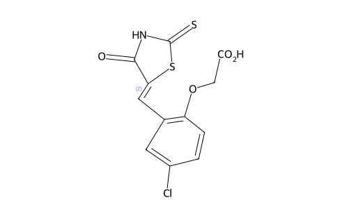 O=C(O)COc1ccc(Cl)cc1/C=C1\SC(=S)NC1=O